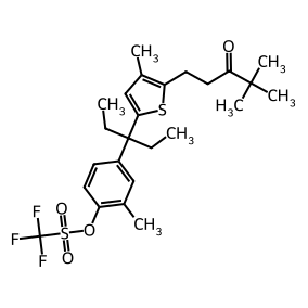 CCC(CC)(c1ccc(OS(=O)(=O)C(F)(F)F)c(C)c1)c1cc(C)c(CCC(=O)C(C)(C)C)s1